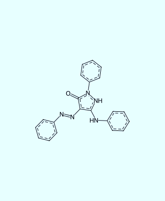 O=c1c(/N=N/c2ccccc2)c(Nc2ccccc2)[nH]n1-c1ccccc1